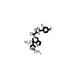 Cn1cc(C2(C)CN(C(=O)c3nnc(-c4ccc(F)cc4F)s3)Cc3ccsc32)cn1